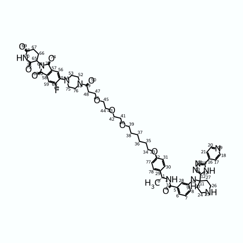 C[C@@H](NC(=O)c1cccc(NC2(c3nnc(-c4ccncc4)[nH]3)CCNCC2)c1)c1ccc(OCCCCCCOCCOCCOCCC(=O)N2CCN(c3cc4c(cc3F)C(=O)N(C3CCC(=O)NC3=O)C4=O)CC2)cc1